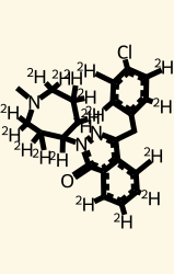 [2H]c1c([2H])c(Cc2nn(C3([2H])C([2H])([2H])C([2H])([2H])N(C)C([2H])([2H])C([2H])([2H])C3([2H])[2H])c(=O)c3c([2H])c([2H])c([2H])c([2H])c23)c([2H])c([2H])c1Cl